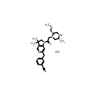 COC[C@H]1CN[C@H](C)CN1CC(=O)N1CC(C)(C)c2cnc(Cc3cccc(C#N)c3)cc21.Cl